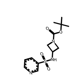 CC(C)(C)OC(=O)N1CC(NS(=O)(=O)c2cccnc2)C1